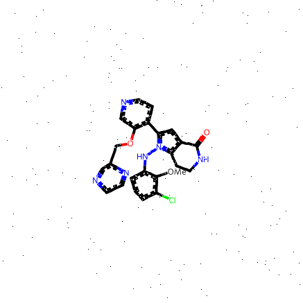 COc1c(Cl)cccc1Nn1c(-c2ccncc2OCc2cnccn2)cc2c1CCNC2=O